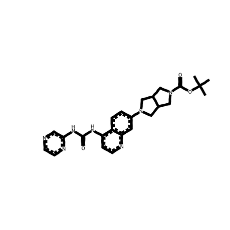 CC(C)(C)OC(=O)N1CC2CN(c3ccc4c(NC(=O)Nc5cnccn5)ccnc4c3)CC2C1